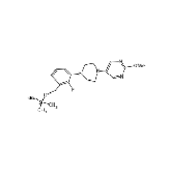 COc1ncc(N2CCN(c3cccc(CO[Si](C)(C)C(C)(C)C)c3F)CC2)cn1